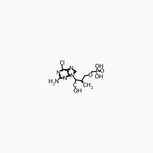 C=C(COCP(=O)(O)O)C(CO)n1cnc2c(Cl)nc(N)nc21